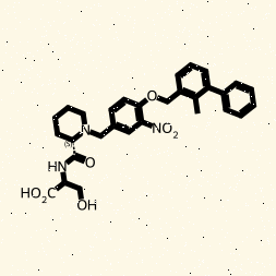 Cc1c(COc2ccc(CN3CCCC[C@H]3C(=O)NC(CO)C(=O)O)cc2[N+](=O)[O-])cccc1-c1ccccc1